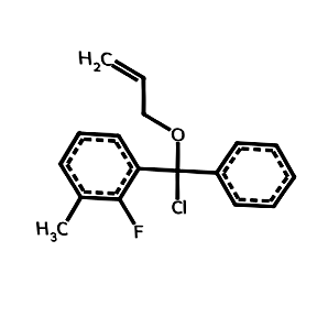 C=CCOC(Cl)(c1ccccc1)c1cccc(C)c1F